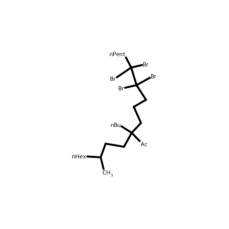 CCCCCCC(C)CCC(CCCC)(CCCC(Br)(Br)C(Br)(Br)CCCCC)C(C)=O